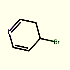 BrC1C=CI=CC1